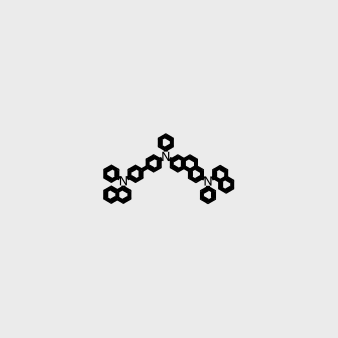 c1ccc(N(c2ccc(-c3ccc(N(c4ccccc4)c4cccc5ccccc45)cc3)cc2)c2ccc3c(ccc4cc(N(c5ccccc5)c5cccc6ccccc56)ccc43)c2)cc1